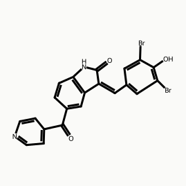 O=C1Nc2ccc(C(=O)c3ccncc3)cc2/C1=C/c1cc(Br)c(O)c(Br)c1